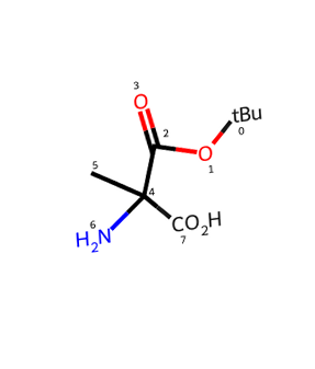 CC(C)(C)OC(=O)C(C)(N)C(=O)O